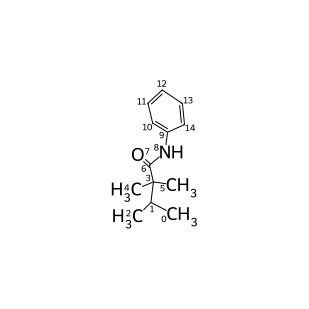 CC(C)C(C)(C)C(=O)Nc1ccccc1